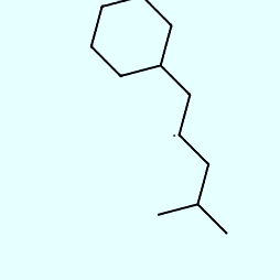 CC(C)C[CH]CC1CCCCC1